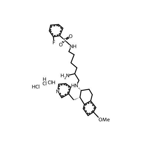 COc1ccc2c(c1)CC[C@@H](NCC(N)CCCCNS(=O)(=O)c1ccccc1F)[C@H]2Cc1cccnc1.Cl.Cl.Cl